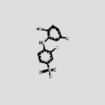 CCS(=O)(=O)c1ccc(Nc2cc(Cl)ccc2O)c(Cl)c1